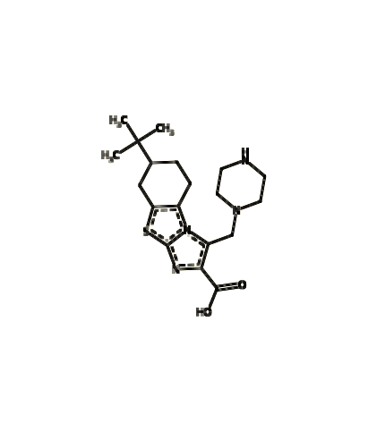 CC(C)(C)C1CCc2c(sc3nc(C(=O)O)c(CN4CCNCC4)n23)C1